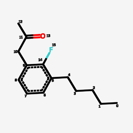 CCCCCc1cccc(CC(C)=O)c1F